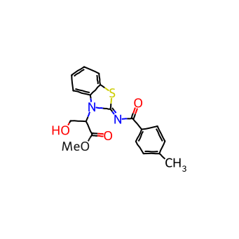 COC(=O)C(CO)n1c(=NC(=O)c2ccc(C)cc2)sc2ccccc21